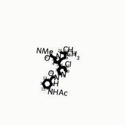 CNC(=O)c1cc(-c2cc(NC(=O)C3CCCC(NC(C)=O)C3)ncc2Cl)c2n1CC(C)(C)C2